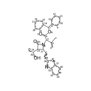 C=C(C)C(C(=O)OC(c1ccccc1)c1ccccc1)N1C(=O)C([C@H](C)O)C1SSc1nc2ccccc2s1